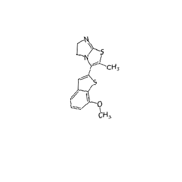 COc1cccc2cc(C3=C(C)SC4=NCCN43)sc12